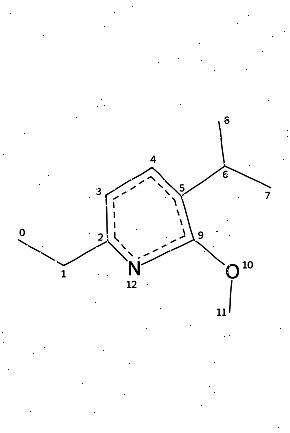 CCc1ccc(C(C)C)c(OC)n1